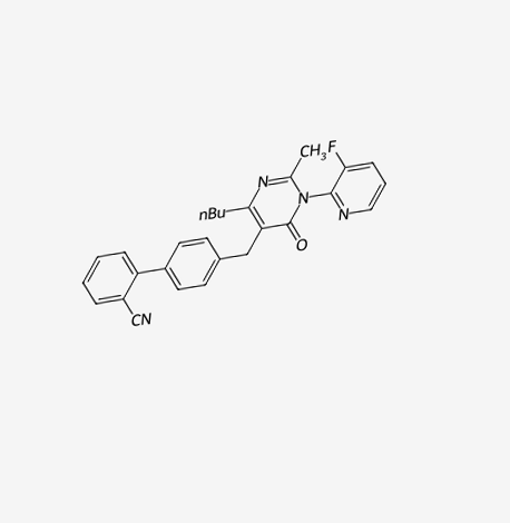 CCCCc1nc(C)n(-c2ncccc2F)c(=O)c1Cc1ccc(-c2ccccc2C#N)cc1